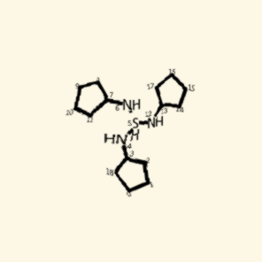 C1CCC(N[SH](NC2CCCC2)NC2CCCC2)C1